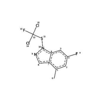 Cc1cc(F)cc2c1cnn2SC(F)(Cl)Cl